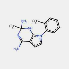 Cc1ccccc1-n1ccc2c1NC(C)(N)N=C2N